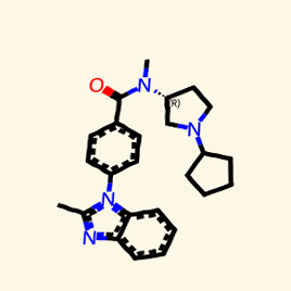 Cc1nc2ccccc2n1-c1ccc(C(=O)N(C)[C@@H]2CCN(C3CCCC3)C2)cc1